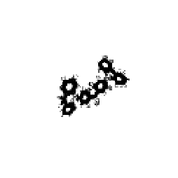 CC1(C)c2ccccc2N(c2ccc3c(=O)c4ccc(-n5c6ccccc6c6ccccc65)cc4sc3c2)c2ccccc21